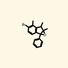 Cc1c(Br)ccc2c1C(C)C1(C)OC21c1ccccc1